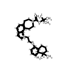 CC(C)(C)OC(=O)N1CCc2ccc3ccn(CCOc4cccc5c4CCCC5(C)C)c3c2CC1